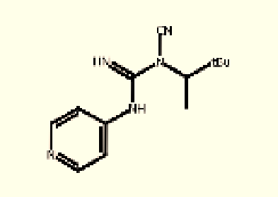 CC(N(C#N)C(=N)Nc1ccncc1)C(C)(C)C